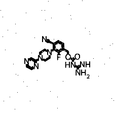 N#Cc1ccc(COC(=O)NC(=N)N)c(F)c1N1CCN(c2cnccn2)CC1